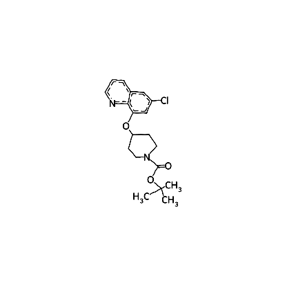 CC(C)(C)OC(=O)N1CCC(Oc2cc(Cl)cc3cccnc23)CC1